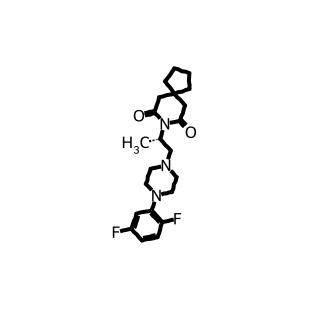 C[C@@H](CN1CCN(c2cc(F)ccc2F)CC1)N1C(=O)CC2(CCCC2)CC1=O